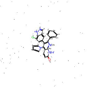 O=c1ccc2c(-n3cccc3)c(-c3cc(Cl)c4[nH]ncc4c3)c(-c3ccccc3)nc2[nH]1